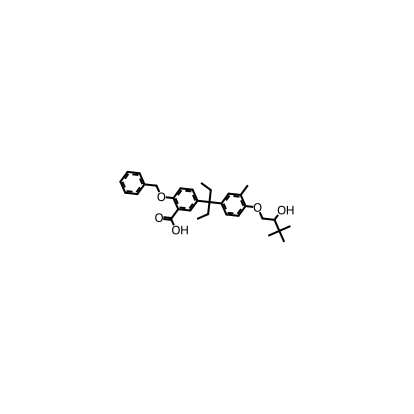 CCC(CC)(c1ccc(OCC(O)C(C)(C)C)c(C)c1)c1ccc(OCc2ccccc2)c(C(=O)O)c1